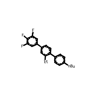 CCCCc1ccc(-c2ccc(-c3cc(F)c(F)c(F)c3)cc2CC)cc1